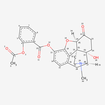 CC(=O)Oc1ccccc1C(=O)Oc1ccc2c3c1O[C@H]1C(=O)CC[C@@]4(O)[C@@H](C2)N(C)CC[C@]314